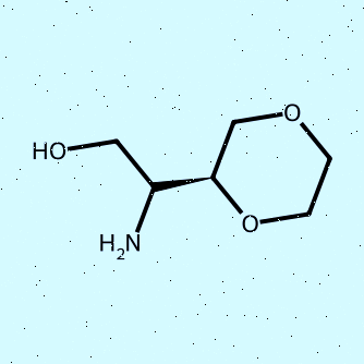 NC(CO)[C@H]1COCCO1